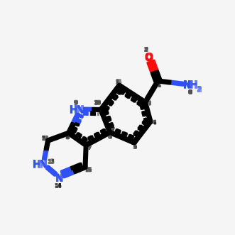 NC(=O)c1ccc2c3c([nH]c2c1)CNN=C3